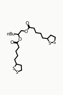 CCCCC(COC(=O)CCCCC1CCSS1)OC(=O)CCCCC1CCSS1